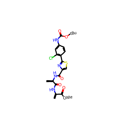 C=C(NC(=O)c1csc(-c2ccc(NC(=O)OC(C)(C)C)cc2Cl)n1)C(=O)NC(=C)C(=O)OC